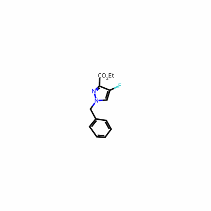 CCOC(=O)c1nn(Cc2ccccc2)cc1F